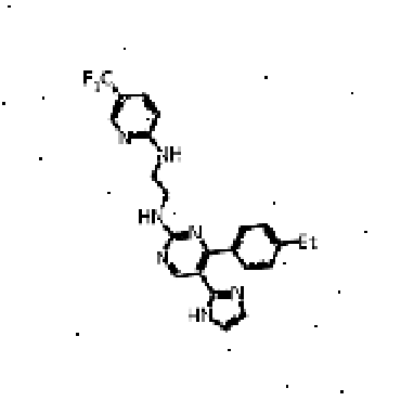 CCc1ccc(-c2nc(NCCNc3ccc(C(F)(F)F)cn3)ncc2-c2ncc[nH]2)cc1